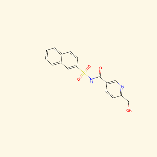 O=C(NS(=O)(=O)c1ccc2ccccc2c1)c1ccc(CO)nc1